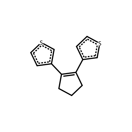 c1cc(C2=C(c3ccsc3)CCC2)cs1